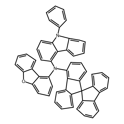 c1ccc(-n2c3ccccc3c3c(N(c4cccc5c4-c4ccccc4C54c5ccccc5-c5ccccc54)c4cccc5oc6ccccc6c45)cccc32)cc1